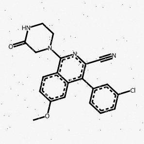 COc1ccc2c(N3CCNC(=O)C3)nc(C#N)c(-c3cccc(Cl)c3)c2c1